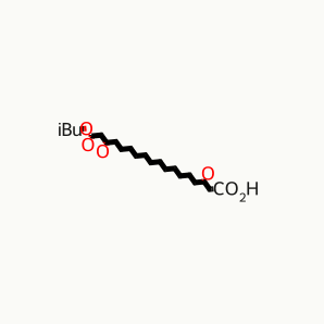 CCC(C)OC(=O)CC(=O)CCCCCCCCCCCCC(=O)CC(=O)O